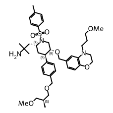 COCCCN1CCOc2ccc(CO[C@H]3CN(S(=O)(=O)c4ccc(C)cc4)[C@@H](CC(C)(C)N)C[C@@H]3c3ccc(COC[C@@H](C)COC)cc3)cc21